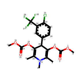 COC(=O)OC1=C(C)N(C)C(C)=C(OC(=O)OC)C1c1ccc(Cl)c(C(F)(F)F)c1